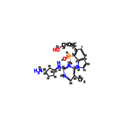 CP(C)(=O)c1c(C#N)ccc2ccn(-c3nc(N[C@H]4CC[C@H](N)C4)ncc3C(F)(F)F)c12.O=CO